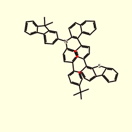 CC(C)(C)c1ccc(-c2ccc(N(c3ccc4c(c3)C(C)(C)c3ccccc3-4)c3ccc4ccccc4c3-c3ccc(-c4cccc5c4sc4ccccc45)cc3)cc2)cc1